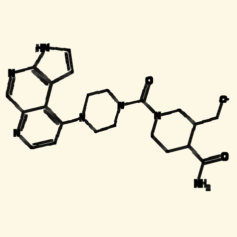 NC(=O)C1CCN(C(=O)N2CCN(c3ccnc4cnc5[nH]ccc5c34)CC2)CC1C[O]